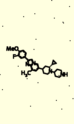 COc1ccc(-c2cn3cc(C4CCN(C5CCNCC5)[C@@H](C5CC5)C4)cc(C)c3n2)cc1F